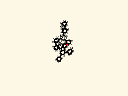 C1=C(c2ccccc2)C=C(c2ccccc2)C2c3ccccc3N(c3cccc4c3oc3c(-c5nc(-c6ccccc6)nc(-c6ccc7c(c6)oc6ccccc67)n5)cccc34)C12